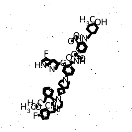 COc1cc(CN2CCN(C3CC4(CCN(c5ccc(C(=O)NS(=O)(=O)c6ccc(NCC7CCC(C)(O)CC7)c([N+](=O)[O-])c6)c(Oc6cnc7[nH]cc(F)c7c6)c5)CC4)C3)C(c3ccccc3C(C)C)C2)ccc1F